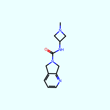 CN1CC(NC(=O)N2Cc3cccnc3C2)C1